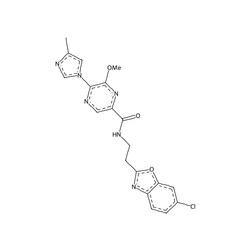 COc1nc(C(=O)NCCc2nc3ccc(Cl)cc3o2)cnc1-n1cnc(C)c1